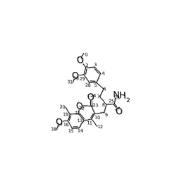 COc1ccc(CCC(Cc2c(C)c3ccc(OC)c(C)c3oc2=O)C(N)=O)cc1OC